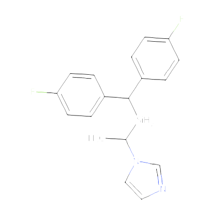 CC([SiH2]C(c1ccc(F)cc1)c1ccc(F)cc1)n1ccnc1